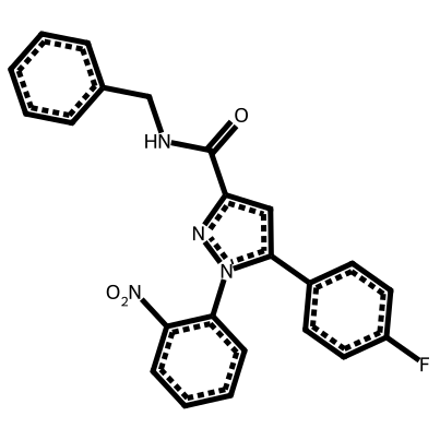 O=C(NCc1ccccc1)c1cc(-c2ccc(F)cc2)n(-c2ccccc2[N+](=O)[O-])n1